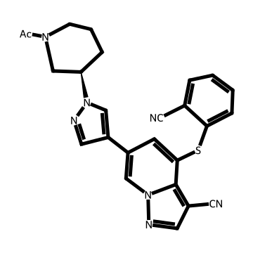 CC(=O)N1CCC[C@@H](n2cc(-c3cc(Sc4ccccc4C#N)c4c(C#N)cnn4c3)cn2)C1